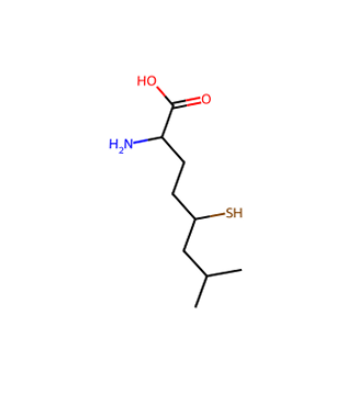 CC(C)CC(S)CCC(N)C(=O)O